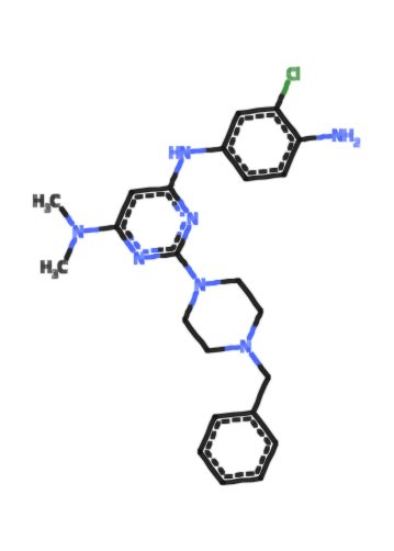 CN(C)c1cc(Nc2ccc(N)c(Cl)c2)nc(N2CCN(Cc3ccccc3)CC2)n1